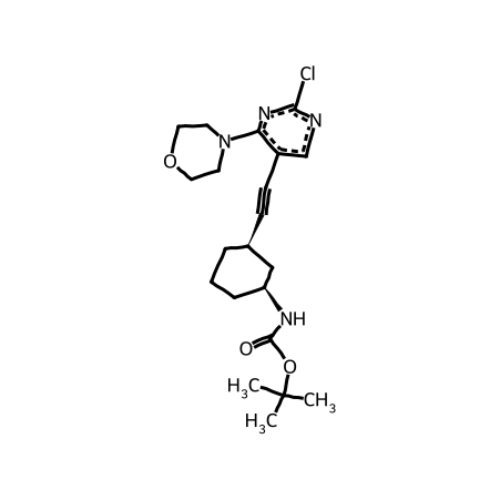 CC(C)(C)OC(=O)N[C@H]1CCC[C@@H](C#Cc2cnc(Cl)nc2N2CCOCC2)C1